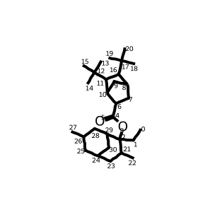 CCC1(OC(=O)C2CC3CC2C(C(C)(C)C)C3C(C)(C)C)C(C)CC2CC(C)CC1C2